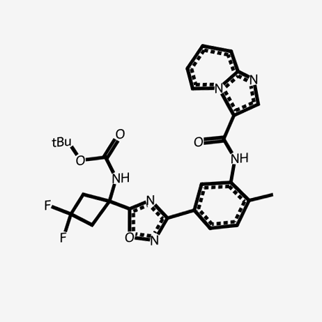 Cc1ccc(-c2noc(C3(NC(=O)OC(C)(C)C)CC(F)(F)C3)n2)cc1NC(=O)c1cnc2ccccn12